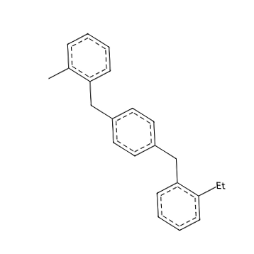 CCc1ccccc1Cc1ccc(Cc2ccccc2C)cc1